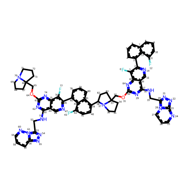 Fc1c(-c2cccc3cccc(F)c23)ncc2c(NCc3nnc4ncccn34)nc(OCC34CCCN3C(c3ccc(F)c5c(-c6ncc7c(NCc8nnc9cccnn89)nc(OCC89CCCN8CCC9)nc7c6F)cccc35)CC4)nc12